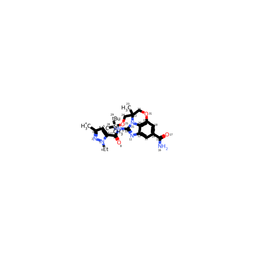 CCn1nc(C)cc1C(=O)Nc1nc2cc(C(N)=O)cc3c2n1C(C)(CO[Si](C)(C)C(C)(C)C)CO3